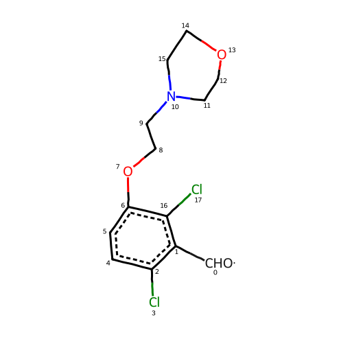 O=[C]c1c(Cl)ccc(OCCN2CCOCC2)c1Cl